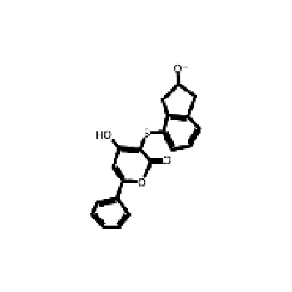 O=c1oc(-c2ccccc2)cc(O)c1Sc1cccc2c1CC(O)C2